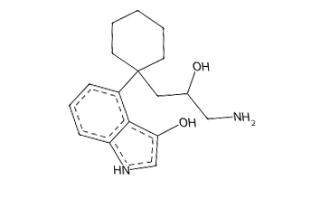 NCC(O)CC1(c2cccc3[nH]cc(O)c23)CCCCC1